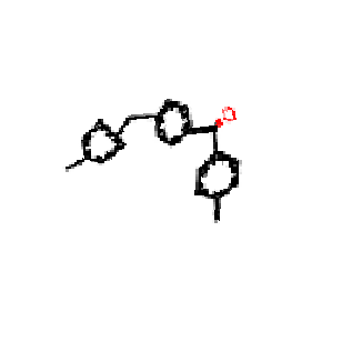 Cc1ccc(Cc2ccc(C(=O)c3ccc(C)cc3)cc2)cc1